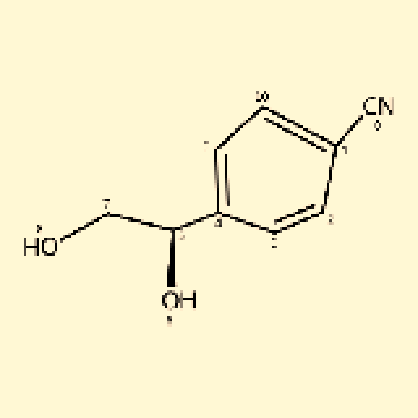 N#Cc1ccc([C@@H](O)CO)cc1